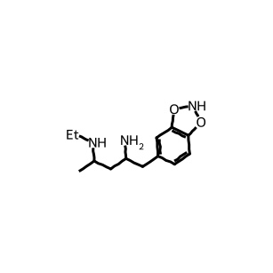 CCNC(C)CC(N)Cc1ccc2c(c1)ONO2